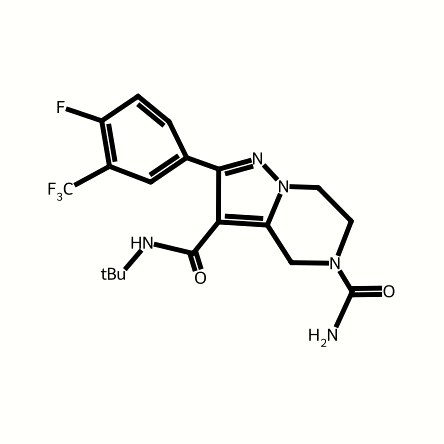 CC(C)(C)NC(=O)c1c(-c2ccc(F)c(C(F)(F)F)c2)nn2c1CN(C(N)=O)CC2